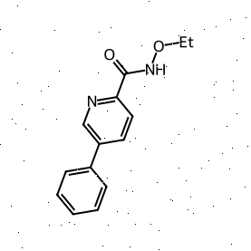 CCONC(=O)c1ccc(-c2ccccc2)cn1